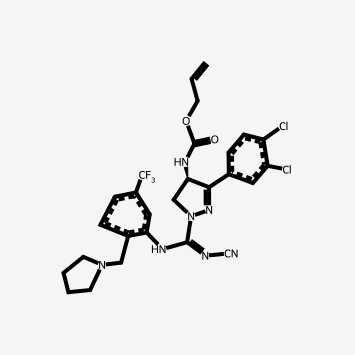 C=CCOC(=O)N[C@@H]1CN(/C(=N\C#N)Nc2cc(C(F)(F)F)ccc2CN2CCCC2)N=C1c1ccc(Cl)c(Cl)c1